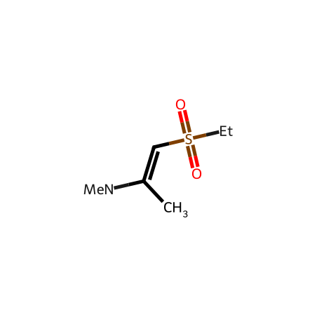 CCS(=O)(=O)C=C(C)NC